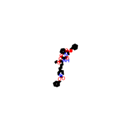 CCOC(=O)[C@H](CCCCC1CCN(C(=O)OCc2ccccc2)CC1)N[C@H]1COc2ccccc2N(CC(=O)OCc2ccccc2)C1=O